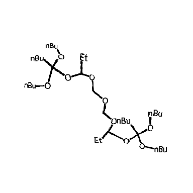 CCCCOC(CCCC)(OCCCC)OC(CC)OCOCOC(CC)OC(CCCC)(OCCCC)OCCCC